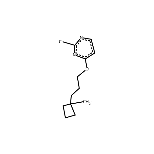 [CH2]C1(CCCOc2ccnc(Cl)n2)CCC1